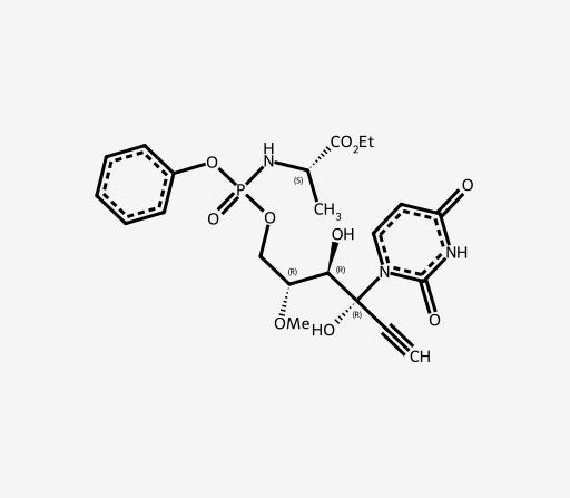 C#C[C@@](O)([C@H](O)[C@@H](COP(=O)(N[C@@H](C)C(=O)OCC)Oc1ccccc1)OC)n1ccc(=O)[nH]c1=O